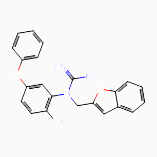 COc1ccc(Oc2ccccc2)cc1N(Cc1cc2ccccc2o1)C(=N)N